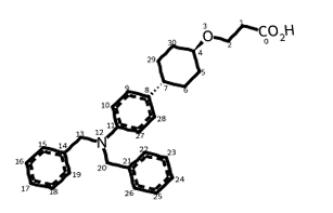 O=C(O)CCO[C@H]1CC[C@H](c2ccc(N(Cc3ccccc3)Cc3ccccc3)cc2)CC1